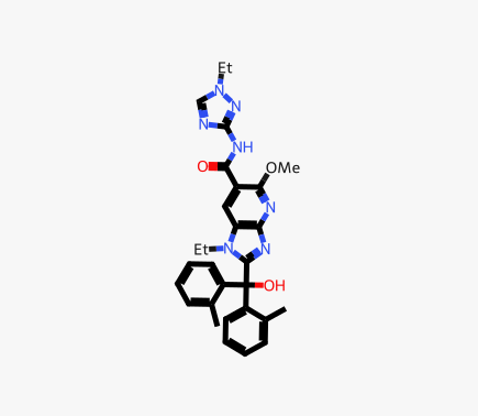 CCn1cnc(NC(=O)c2cc3c(nc2OC)nc(C(O)(c2ccccc2C)c2ccccc2C)n3CC)n1